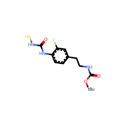 CC(C)(C)OC(=O)NCCc1ccc(NC(=O)NS)c(F)c1